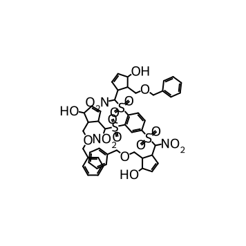 O=[N+]([O-])C(C1C=CC(O)C1COCc1ccccc1)S(=O)(=O)c1ccc(S(=O)(=O)C(C2C=CC(O)C2COCc2ccccc2)[N+](=O)[O-])c(S(=O)(=O)C(C2C=CC(O)C2COCc2ccccc2)[N+](=O)[O-])c1